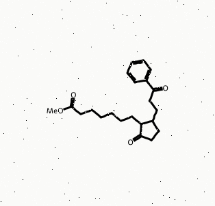 COC(=O)CCCCCCC1C(=O)CCC1CCC(=O)c1ccccc1